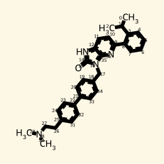 CC(C)c1ccccc1-c1ccc2[nH]c(=O)n(Cc3ccc(-c4ccc(CCN(C)C)cc4)cc3)c2n1